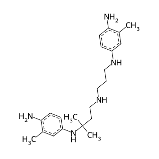 Cc1cc(NCCCNCCC(C)(C)Nc2ccc(N)c(C)c2)ccc1N